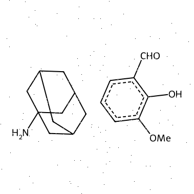 COc1cccc(C=O)c1O.NC12CC3CC(CC(C3)C1)C2